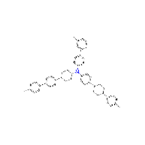 Cc1ccc(-c2ccc(C3CCC(N(c4ccc(-c5cccc(C)c5)cc4)c4ccc(C5CCC(c6ccc(C)cc6)CC5)cc4)CC3)cc2)cc1